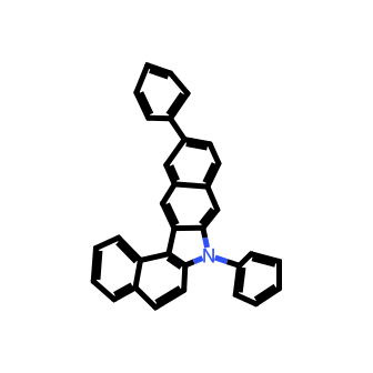 c1ccc(-c2ccc3cc4c(cc3c2)c2c3ccccc3ccc2n4-c2ccccc2)cc1